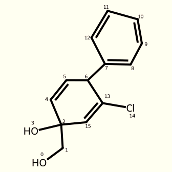 OCC1(O)C=CC(c2ccccc2)C(Cl)=C1